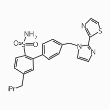 CC(C)Cc1ccc(S(N)(=O)=O)c(-c2ccc(Cn3ccnc3-c3nccs3)cc2)c1